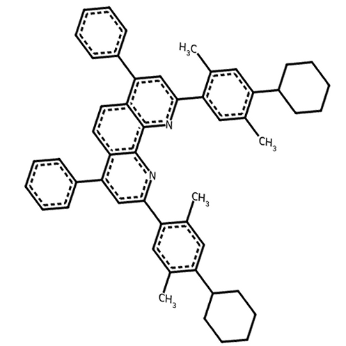 Cc1cc(C2CCCCC2)c(C)cc1-c1cc(-c2ccccc2)c2ccc3c(-c4ccccc4)cc(-c4cc(C)c(C5CCCCC5)cc4C)nc3c2n1